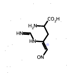 N=CN/C(=C\N=O)CC(N)C(=O)O